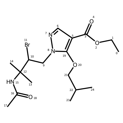 CCOC(=O)c1cnn(CC(Br)C(C)(C)NC(C)=O)c1OCC(C)C